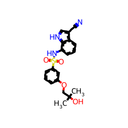 CC(C)(O)COc1cccc(S(=O)(=O)Nc2cccc3c(C#N)c[nH]c23)c1